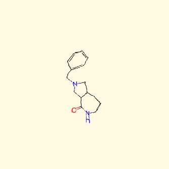 O=C1NCCCC2CN(Cc3ccccc3)CC12